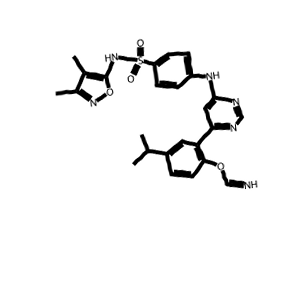 Cc1noc(NS(=O)(=O)c2ccc(Nc3cc(-c4cc(C(C)C)ccc4OC=N)ncn3)cc2)c1C